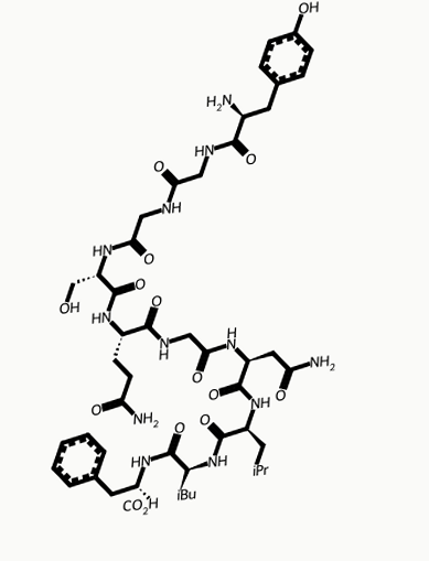 CC[C@H](C)[C@H](NC(=O)[C@H](CC(C)C)NC(=O)[C@H](CC(N)=O)NC(=O)CNC(=O)[C@H](CCC(N)=O)NC(=O)[C@H](CO)NC(=O)CNC(=O)CNC(=O)[C@@H](N)Cc1ccc(O)cc1)C(=O)N[C@@H](Cc1ccccc1)C(=O)O